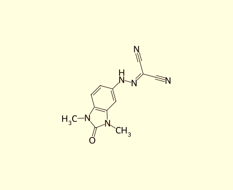 Cn1c(=O)n(C)c2cc(NN=C(C#N)C#N)ccc21